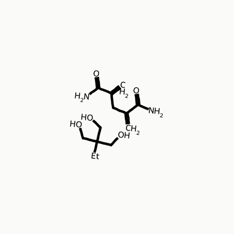 C=C(CC(=C)C(N)=O)C(N)=O.CCC(CO)(CO)CO